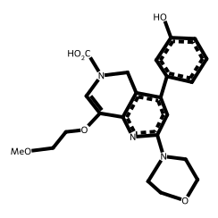 COCCOC1=CN(C(=O)O)Cc2c(-c3cccc(O)c3)cc(N3CCOCC3)nc21